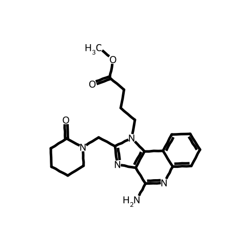 COC(=O)CCCn1c(CN2CCCCC2=O)nc2c(N)nc3ccccc3c21